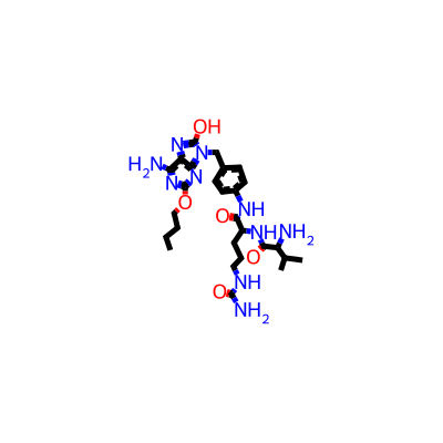 CCCCOc1nc(N)c2nc(O)n(Cc3ccc(NC(=O)C(CCCNC(N)=O)NC(=O)C(N)C(C)C)cc3)c2n1